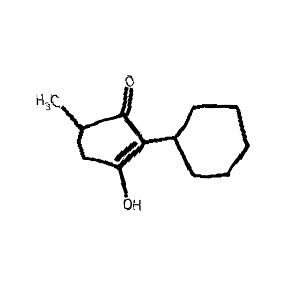 CC1CC(O)=C(C2CCCCC2)C1=O